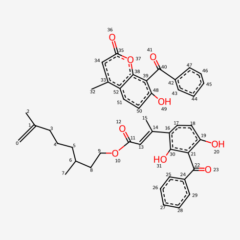 C=C(C)CCCC(C)CCOC(=O)C=C(C)c1ccc(O)c(C(=O)c2ccccc2)c1O.Cc1cc(=O)oc2c(C(=O)c3ccccc3)c(O)ccc12